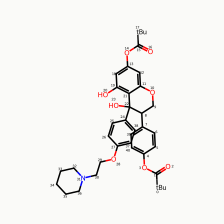 CC(C)(C)C(=O)Oc1ccc(C2COc3cc(OC(=O)C(C)(C)C)cc(O)c3C2(O)c2ccc(OCCN3CCCCC3)cc2)cc1